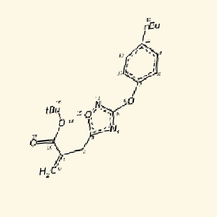 C=C(Cc1nc(Oc2ccc(CCCC)cc2)no1)C(=O)OC(C)(C)C